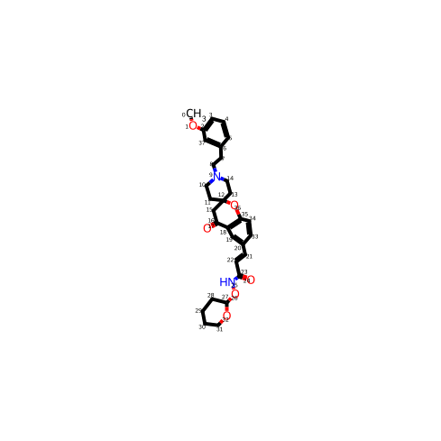 COc1cccc(CCN2CCC3(CC2)CC(=O)c2cc(C=CC(=O)NOC4CCCCO4)ccc2O3)c1